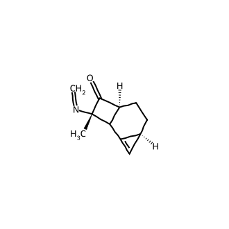 C=N[C@]1(C)C(=O)[C@H]2CC[C@H]3C=C3C21